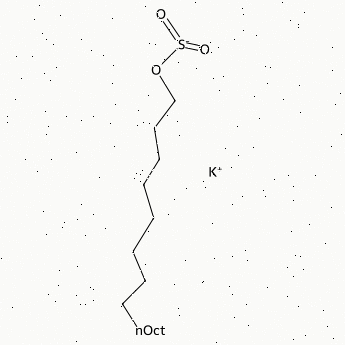 CCCCCCCCCCCCCCCCO[S-](=O)=O.[K+]